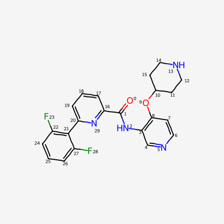 O=C(Nc1cnccc1OC1CCNCC1)c1cccc(-c2c(F)cccc2F)n1